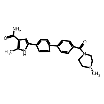 Cc1[nH]c(-c2ccc(-c3ccc(C(=O)N4CCN(C)CC4)cc3)cc2)cc1C(N)=O